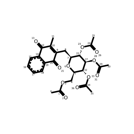 CC(=O)OC[C@H]1O[C@@H](CC2=C(C)C(=O)c3ccccc3C2=O)[C@H](OC(C)=O)[C@@H](OC(C)=O)[C@@H]1OC(C)=O